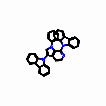 c1ccc(-n2cc(-n3c4ccccc4c4ccccc43)c3ccnc(-n4c5ccccc5c5ccccc54)c32)cc1